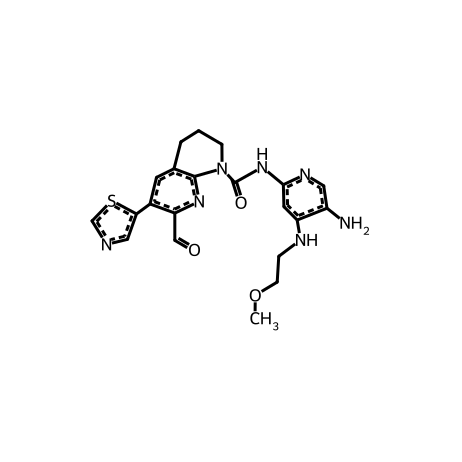 COCCNc1cc(NC(=O)N2CCCc3cc(-c4cncs4)c(C=O)nc32)ncc1N